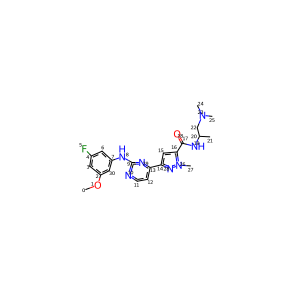 COc1cc(F)cc(Nc2nccc(-c3cc(C(=O)NC(C)CN(C)C)n(C)n3)n2)c1